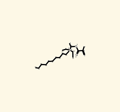 C=C(C)C(=O)OC(C)[N+](CC)(CC)CCCCCCCCCC